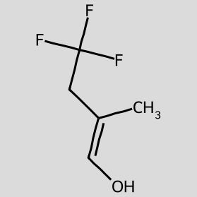 C/C(=C\O)CC(F)(F)F